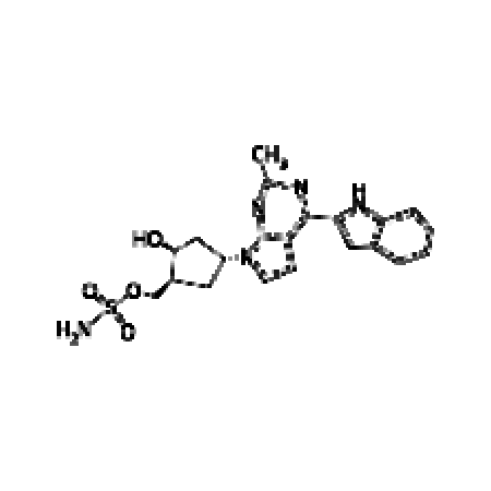 Cc1nc(-c2cc3ccccc3[nH]2)c2ccn([C@@H]3C[C@@H](COS(N)(=O)=O)[C@@H](O)C3)c2n1